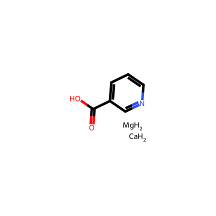 O=C(O)c1cccnc1.[CaH2].[MgH2]